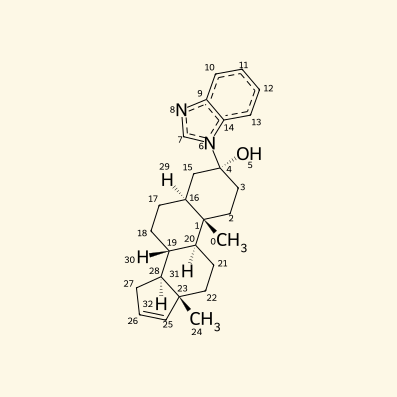 C[C@]12CC[C@](O)(n3cnc4ccccc43)C[C@@H]1CC[C@@H]1[C@@H]2CC[C@]2(C)C=CC[C@@H]12